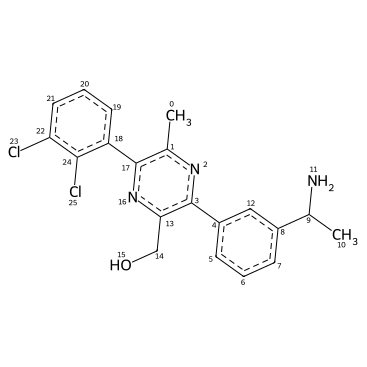 Cc1nc(-c2cccc(C(C)N)c2)c(CO)nc1-c1cccc(Cl)c1Cl